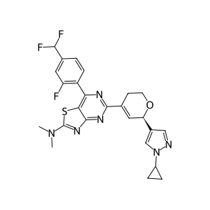 CN(C)c1nc2nc(C3=C[C@H](c4cnn(C5CC5)c4)OCC3)nc(-c3ccc(C(F)F)cc3F)c2s1